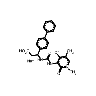 Cc1cn(C)c(=O)c(NC(=O)NC(CC(=O)O)c2ccc(-c3ccccc3)cc2)c1[O-].[Na+]